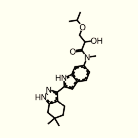 CC(C)OCC(O)C(=O)N(C)c1ccc2cc(-c3n[nH]c4c3CCC(C)(C)C4)[nH]c2c1